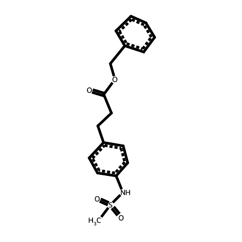 CS(=O)(=O)Nc1ccc(CCC(=O)OCc2ccccc2)cc1